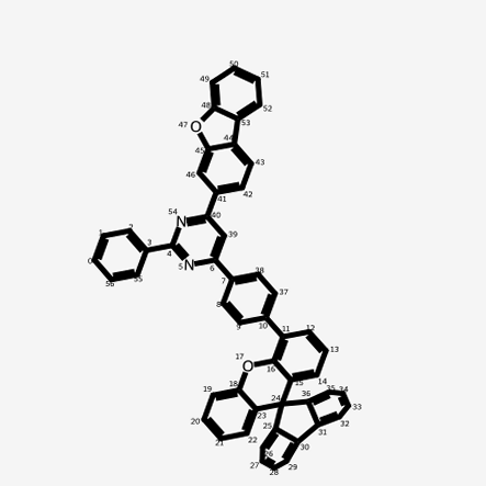 c1ccc(-c2nc(-c3ccc(-c4cccc5c4Oc4ccccc4C54c5ccccc5-c5ccccc54)cc3)cc(-c3ccc4c(c3)oc3ccccc34)n2)cc1